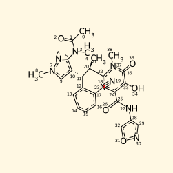 CC(=O)N(C)c1nn(C)cc1[C@@H](c1ccccc1C#N)[C@@H](C)c1nc(C(=O)Nc2cnoc2)c(O)c(=O)n1C